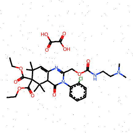 CCOC(=O)C1(C(=O)OCC)C(C)(C)C=C2N=C(COC(=O)NCCN(C)C)N(c3ccccc3Cl)C(=O)C2C1(C)C.O=C(O)C(=O)O